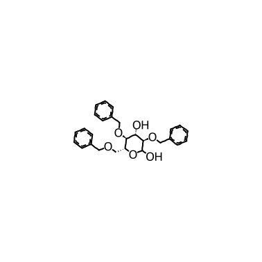 OC1O[C@H](COCc2ccccc2)[C@@H](OCc2ccccc2)[C@H](O)[C@H]1OCc1ccccc1